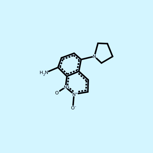 Nc1ccc(N2CCCC2)c2cc[n+]([O-])[n+]([O-])c12